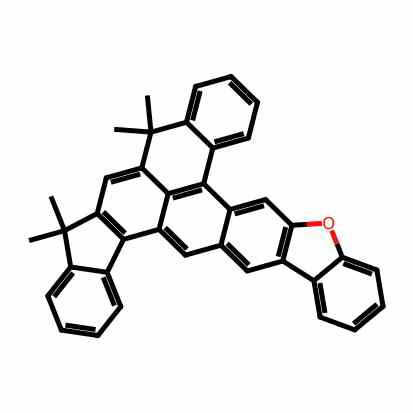 CC1(C)c2ccccc2-c2c1cc1c3c(c4cc5oc6ccccc6c5cc4cc23)-c2ccccc2C1(C)C